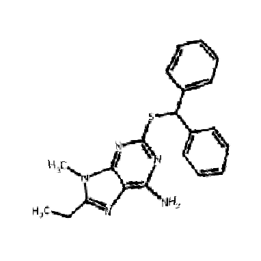 CCc1nc2c(N)nc(SC(c3ccccc3)c3ccccc3)nc2n1C